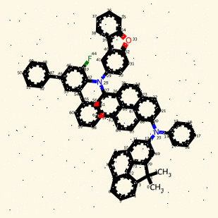 CC1(C)c2cccc3ccc4cc(N(c5ccccc5)c5ccc6ccc7c(N(c8ccc9oc%10ccccc%10c9c8)c8c(F)cc(-c9ccccc9)cc8-c8ccccc8)ccc8ccc5c6c87)cc1c4c23